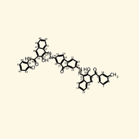 Cc1cccc(C(=O)c2cc3ccccc3c(N=Nc3ccc4c(c3)C(=O)c3cc(N=Nc5c(O)c(C(=O)Nc6ccccc6Cl)cc6ccccc56)ccc3-4)c2O)c1